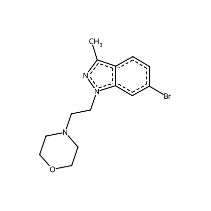 Cc1nn(CCN2CCOCC2)c2cc(Br)ccc12